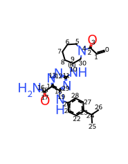 C=CC(=O)N1CCCC[C@@H](Nc2nnc(C(N)=O)c(Nc3ccc(C(C)C)cc3)n2)C1